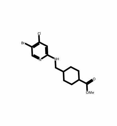 COC(=O)C1CCC(CNc2cc(Cl)c(Br)cn2)CC1